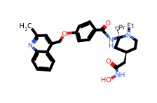 CCC[C@@]1(NC(=O)c2ccc(OCc3cc(C)nc4ccccc34)cc2)C[C@H](CC(=O)NO)CCN1CC